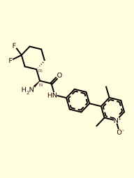 Cc1cc[n+]([O-])c(C)c1-c1ccc(NC(=O)[C@@H](N)[C@H]2CCCC(F)(F)C2)cc1